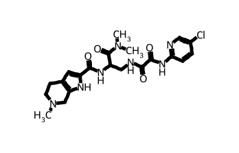 CN1CCc2cc(C(=O)NC(CNC(=O)C(=O)Nc3ccc(Cl)cn3)C(=O)N(C)C)[nH]c2C1